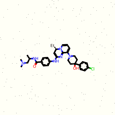 CC[C@@H]1C=C(Nc2ccc(C(=O)NC(C)CN(C)C)cc2)N=C2C(N3CCC(O)(c4ccc(Cl)cc4)CC3)=CC=CN21